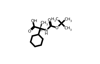 CC(C)(C)OC(=O)N[C@@](C)(C(=O)O)C1CCCCC1